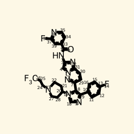 O=C(Nc1cn2nc(-c3c(-c4ccc(F)cc4)ncn3C3CCN(CCC(F)(F)F)CC3)ccc2n1)c1ccnc(F)c1